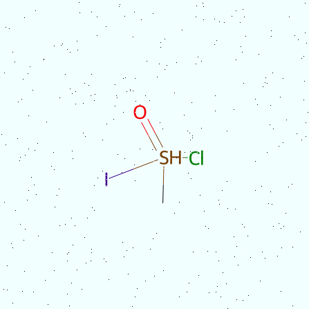 C[SH](=O)(Cl)I